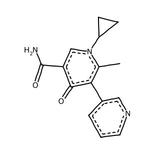 Cc1c(-c2cccnc2)c(=O)c(C(N)=O)cn1C1CC1